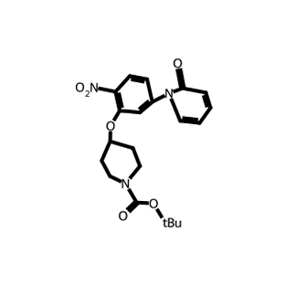 CC(C)(C)OC(=O)N1CCC(Oc2cc(-n3ccccc3=O)ccc2[N+](=O)[O-])CC1